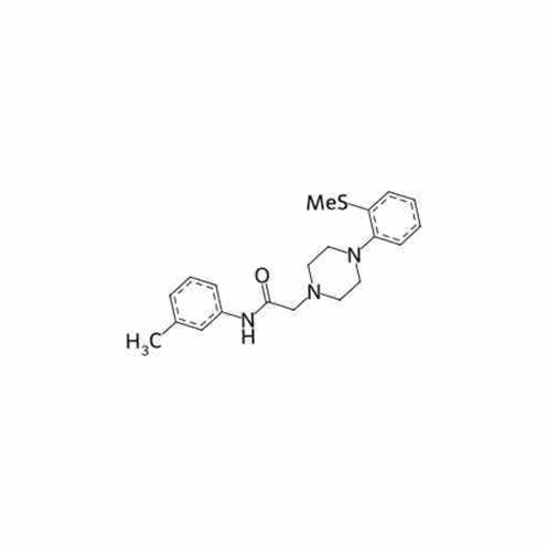 CSc1ccccc1N1CCN(CC(=O)Nc2cccc(C)c2)CC1